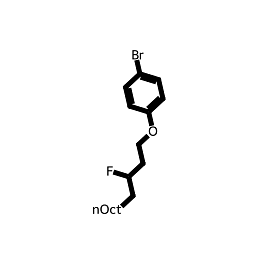 CCCCCCCCCC(F)CCOc1ccc(Br)cc1